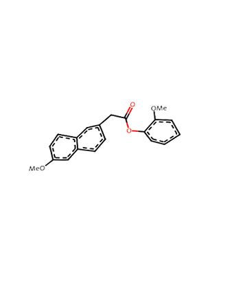 COc1ccc2cc(CC(=O)Oc3ccccc3OC)ccc2c1